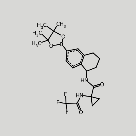 CC1(C)OB(c2ccc3c(c2)CCCC3NC(=O)C2(NC(=O)C(F)(F)F)CC2)OC1(C)C